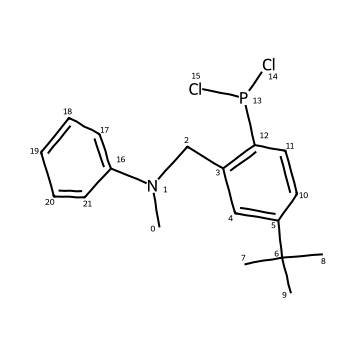 CN(Cc1cc(C(C)(C)C)ccc1P(Cl)Cl)c1ccccc1